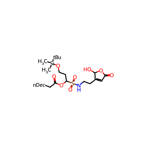 CCCCCCCCCCCC(=O)OC(CCO[Si](C)(C)C(C)(C)C)S(=O)(=O)NCCC1=CC(=O)OC1O